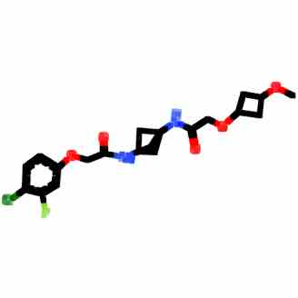 COC1CC(OCC(=O)NC23CC(NC(=O)COc4ccc(Cl)c(F)c4)(C2)C3)C1